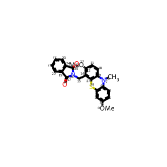 COc1[c]c2c(cc1)N(C)c1ccc(OC)c(CN3C(=O)c4ccccc4C3=O)c1S2